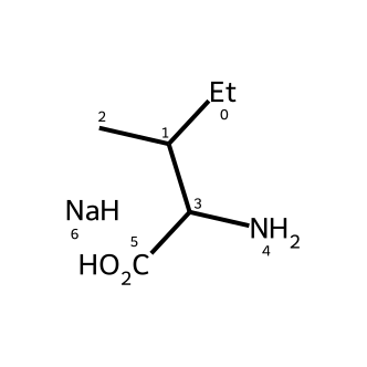 CCC(C)C(N)C(=O)O.[NaH]